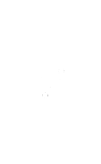 C[C]1OCC(C)C1=O